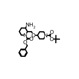 CC(C)(C)OC(=O)N1CCC(OCC2C(N)CCCN2C(=O)OCc2ccccc2)CC1